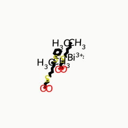 CC(C)CCCCCSCCC(=O)[O-].CC(C)CCCCCSCCC(=O)[O-].[Bi+3].[S-]C1CCCCC1